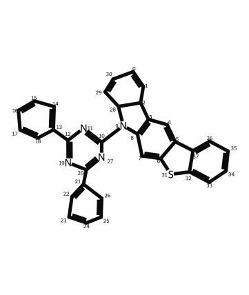 C1=CC2c3cc4c(cc3N(c3nc(-c5ccccc5)nc(-c5ccccc5)n3)C2C=C1)sc1ccccc14